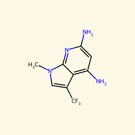 Cn1cc(C(F)(F)F)c2c(N)cc(N)nc21